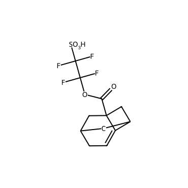 O=C(OC(F)(F)C(F)(F)S(=O)(=O)O)C12CC3CC=C1C(C3)C2